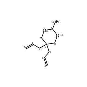 C=CCC1(CC=C)COC(C(C)C)OC1